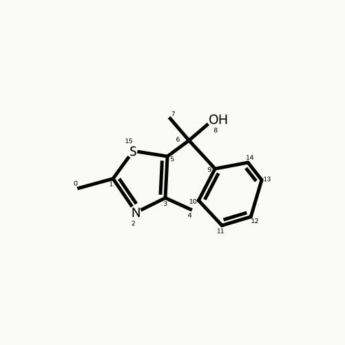 Cc1nc(C)c(C(C)(O)c2ccccc2)s1